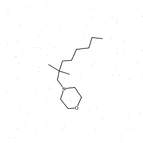 CCCCCCC(C)(C)CN1CCOCC1